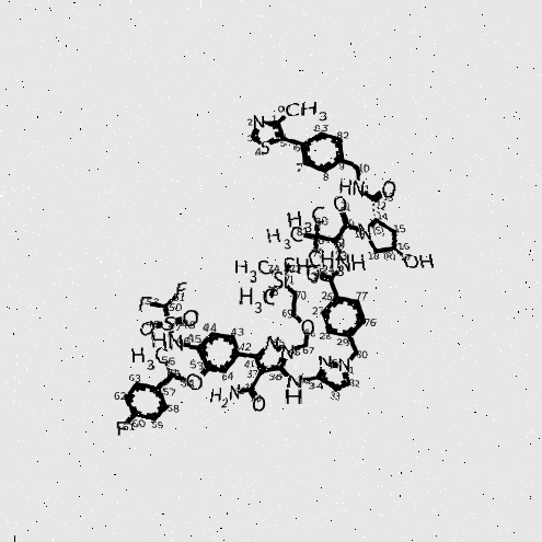 Cc1ncsc1-c1ccc(CNC(=O)[C@@H]2C[C@@H](O)CN2C(=O)[C@@H](NC(=O)c2ccc(Cn3ccc(Nc4c(C(N)=O)c(-c5ccc(NS(=O)(=O)C(F)F)c(O[C@@H](C)c6ccc(F)cc6)c5)nn4COCC[Si](C)(C)C)n3)cc2)C(C)(C)C)cc1